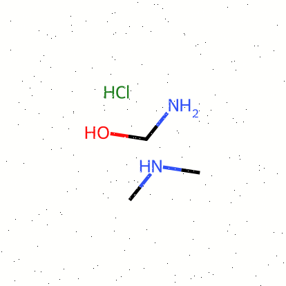 CNC.Cl.NCO